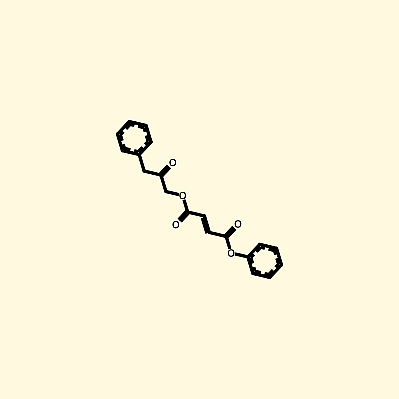 O=C(COC(=O)/C=C/C(=O)Oc1ccccc1)Cc1ccccc1